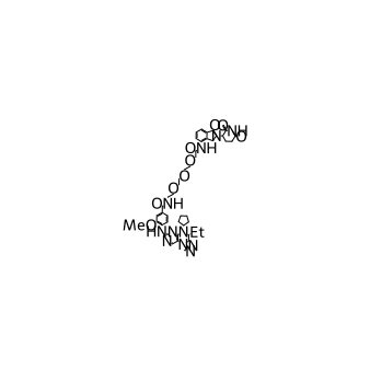 CC[C@@H]1c2nncn2-c2cnc(Nc3ccc(C(=O)NCCOCCOCCOCC(=O)Nc4cccc5c4CN(C4CCC(=O)NC4=O)C5=O)cc3OC)nc2N1C1CCCC1